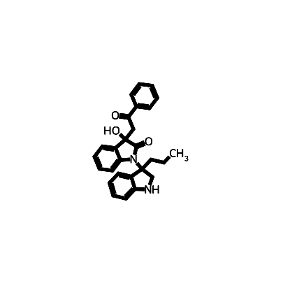 CCCC1(N2C(=O)C(O)(CC(=O)c3ccccc3)c3ccccc32)CNc2ccccc21